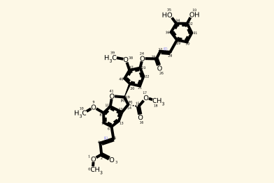 COC(=O)/C=C/c1cc(OC)c2c(c1)[C@@H](C(=O)OC)[C@H](c1ccc(OC(=O)/C=C/c3ccc(O)c(O)c3)c(OC)c1)O2